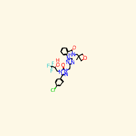 CC1(CNC(=O)c2ccccc2-n2cnc(Cn3nc(-c4ccc(Cl)cc4)n(C[C@H](O)C(F)(F)F)c3=O)n2)COC1